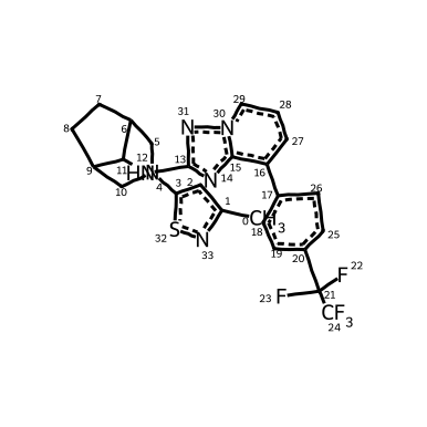 Cc1cc(N2CC3CCC(C2)C3Nc2nc3c(-c4ccc(C(F)(F)C(F)(F)F)cc4)cccn3n2)sn1